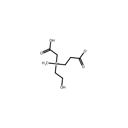 C[N+](CCO)(CCC(=O)[O-])CC(=O)O